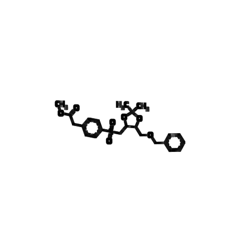 COC(=O)Cc1ccc(S(=O)(=O)CC2OC(C)(C)OC2COCc2ccccc2)cc1